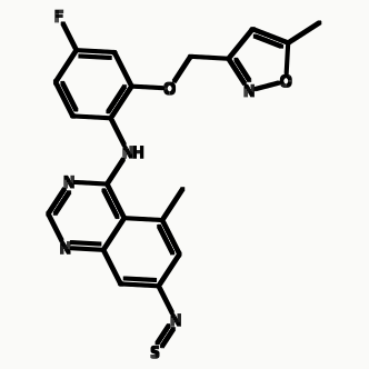 Cc1cc(COc2cc(F)ccc2Nc2ncnc3cc(N=S)cc(C)c23)no1